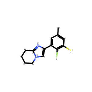 Cc1cc(S)c(F)c(-c2cn3c(n2)CCCC3)c1